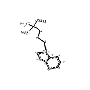 CC(C)(C)C(C)(C)CCCn1cnc2ccccc21